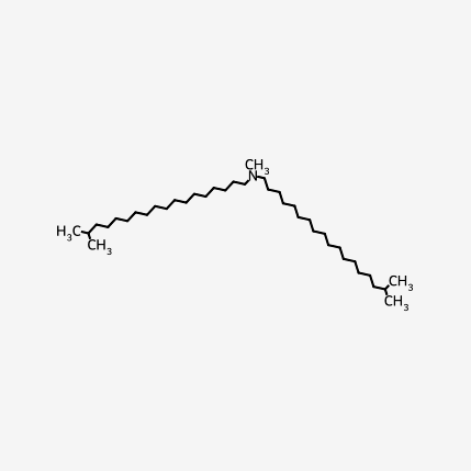 CC(C)CCCCCCCCCCCCCCCCN(C)CCCCCCCCCCCCCCCCC(C)C